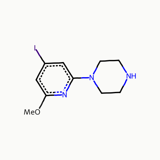 COc1cc(I)cc(N2CCNCC2)n1